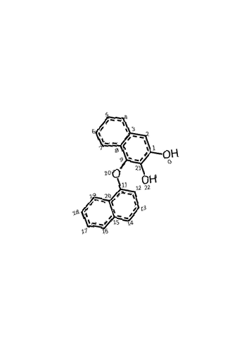 Oc1cc2ccccc2c(Oc2cccc3ccccc23)c1O